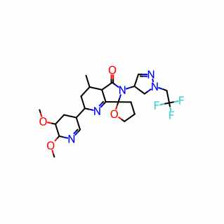 COC1CC(C2CC(C)C3C(=O)N(C4C=NN(CC(F)(F)F)C4)C4(CCCO4)C3=N2)C=NC1OC